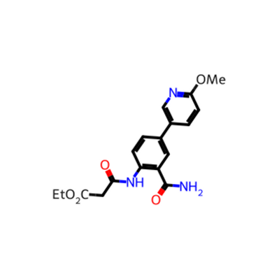 CCOC(=O)CC(=O)Nc1ccc(-c2ccc(OC)nc2)cc1C(N)=O